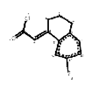 O=C(Cl)C=C1CCCc2ccc(F)cc21